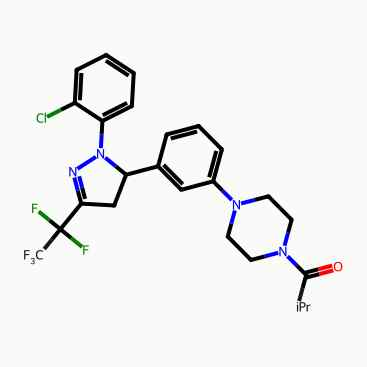 CC(C)C(=O)N1CCN(c2cccc(C3CC(C(F)(F)C(F)(F)F)=NN3c3ccccc3Cl)c2)CC1